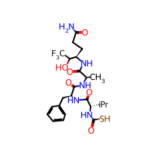 CC(C)[C@H](NC(=O)S)C(=O)N[C@@H](Cc1ccccc1)C(=O)N[C@H](C)C(=O)N[C@H](CCC(N)=O)C(O)C(F)(F)F